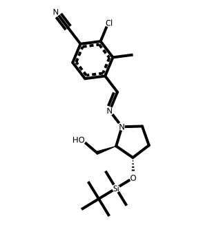 Cc1c(C=NN2CC[C@H](O[Si](C)(C)C(C)(C)C)[C@H]2CO)ccc(C#N)c1Cl